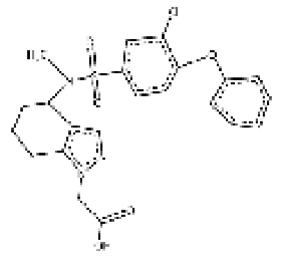 CN(C1CCCc2c1cnn2CC(=O)O)S(=O)(=O)c1ccc(Oc2ccccc2)c(Cl)c1